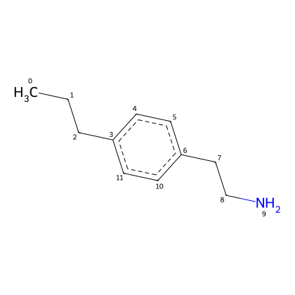 CCCc1ccc(CCN)cc1